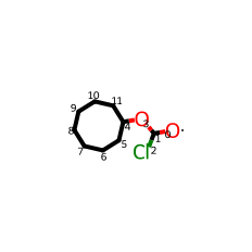 [O]C(Cl)OC1CCCCCCC1